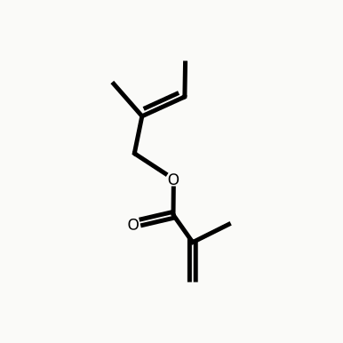 C=C(C)C(=O)OCC(C)=CC